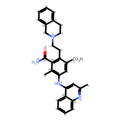 Cc1cc(Nc2cc(C(=O)O)c(CCN3CCc4ccccc4C3)c(C(N)=O)c2C)c2ccccc2n1